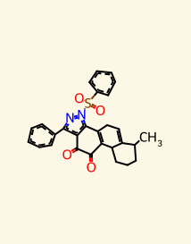 CC1CCCC2C1=CCC1=C2C(=O)C(=O)c2c(-c3ccccc3)nn(S(=O)(=O)c3ccccc3)c21